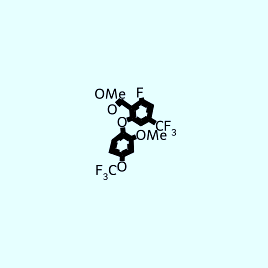 COC(=O)c1c(F)cc(C(F)(F)F)cc1Oc1ccc(OC(F)(F)F)cc1OC